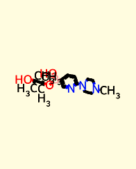 CN1CCN(c2ccc(B(O)OC(C)(C)C(C)(C)O)cn2)CC1